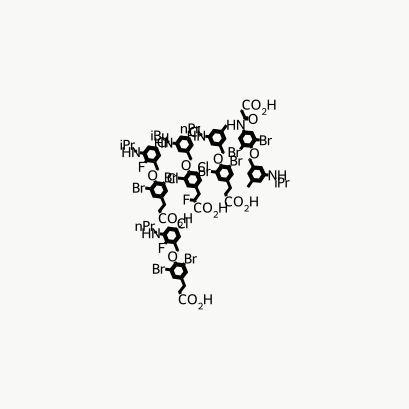 CC(C)Nc1cc(Cl)cc(COc2c(Br)cc(CCC(=O)O)cc2Br)c1F.CCC(C)Nc1cc(Cl)cc(COc2c(Cl)cc(CC(F)C(=O)O)cc2Cl)c1.CCCNc1cc(C)cc(COc2c(Br)cc(CCC(=O)O)cc2Br)c1.CCCNc1cc(Cl)cc(COc2c(Br)cc(CCC(=O)O)cc2Br)c1F.Cc1cc(COc2c(Br)cc(NC(=O)CC(=O)O)cc2Br)cc(NC(C)C)c1